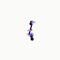 COC(=O)C(CCNC(=O)CCCCc1ccc2c(n1)NCCC2)Nc1ncc(-c2ccccc2)cn1